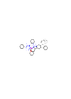 c1ccc(-c2nc(-c3ccccc3)nc(-c3ccccc3-n3c4ccccc4c4cc5c(cc43)C3(c4ccccc4-5)C4CC5CC(C4)CC3C5)n2)cc1